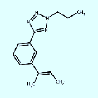 [CH2]C=C(C)c1cccc(-c2nnn(CCC)n2)c1